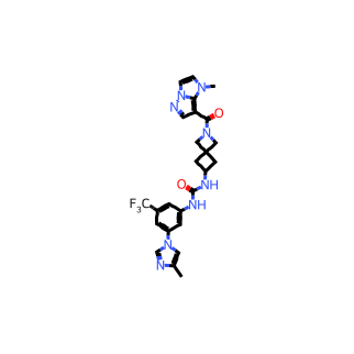 Cc1cn(-c2cc(NC(=O)NC3CC4(C3)CN(C(=O)c3cnn5ccn(C)c35)C4)cc(C(F)(F)F)c2)cn1